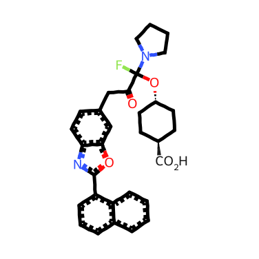 O=C(Cc1ccc2nc(-c3cccc4ccccc34)oc2c1)C(F)(O[C@H]1CC[C@H](C(=O)O)CC1)N1CCCC1